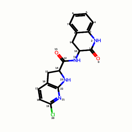 O=C1Nc2ccccc2CC1NC(=O)C1Cc2ccc(Cl)nc2N1